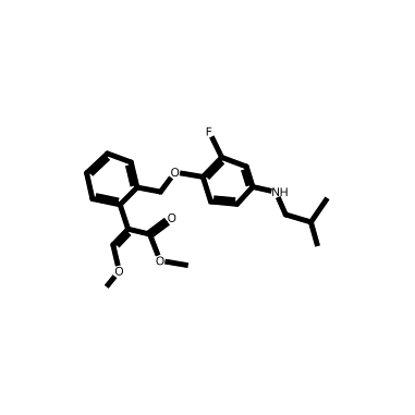 COC=C(C(=O)OC)c1ccccc1COc1ccc(NCC(C)C)cc1F